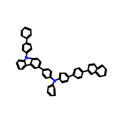 c1ccc(-c2ccc(-n3c4ccccc4c4cc(-c5ccc(N(c6ccccc6)c6ccc(-c7ccc(-c8ccc9ccccc9c8)cc7)cc6)cc5)ccc43)cc2)cc1